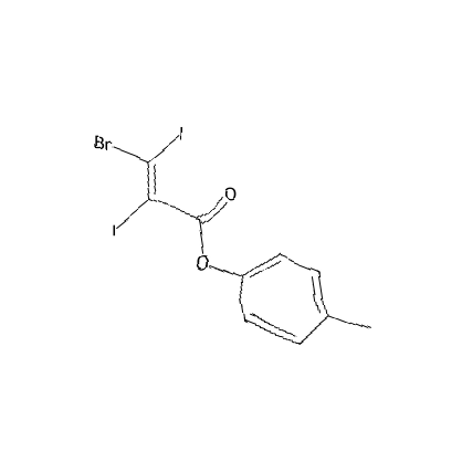 Cc1ccc(OC(=O)C(I)=C(Br)I)cc1